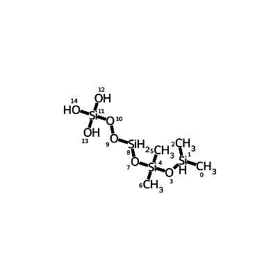 C[SiH](C)O[Si](C)(C)O[SiH2]OO[Si](O)(O)O